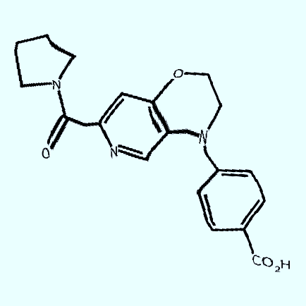 O=C(O)c1ccc(N2CCOc3cc(C(=O)N4CCCC4)ncc32)cc1